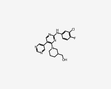 OCC1CCCN(c2nc(Nc3ccc(F)c(Cl)c3)ncc2-c2cncnc2)C1